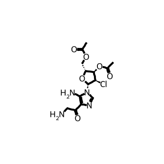 CC(=O)OC[C@H]1O[C@@H](n2cnc(C(=O)CN)c2N)[C@H](Cl)[C@@H]1OC(C)=O